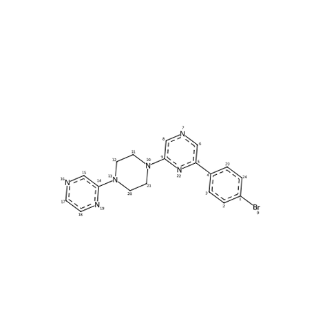 Brc1ccc(-c2cncc(N3CCN(c4cnccn4)CC3)n2)cc1